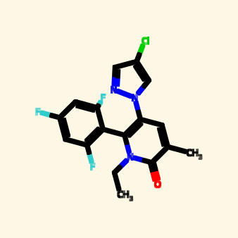 CCn1c(-c2c(F)cc(F)cc2F)c(-n2cc(Cl)cn2)cc(C)c1=O